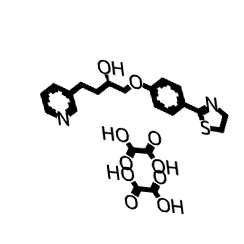 O=C(O)C(=O)O.O=C(O)C(=O)O.O[C@H](CCc1cccnc1)COc1ccc(C2=NCCS2)cc1